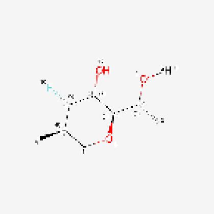 [2H]O[C@H](C)[C@H]1OC[C@@H](C)[C@H](F)[C@@H]1O